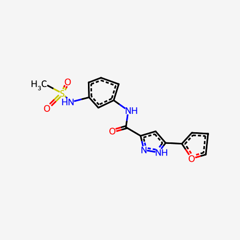 CS(=O)(=O)Nc1cccc(NC(=O)c2cc(-c3ccco3)[nH]n2)c1